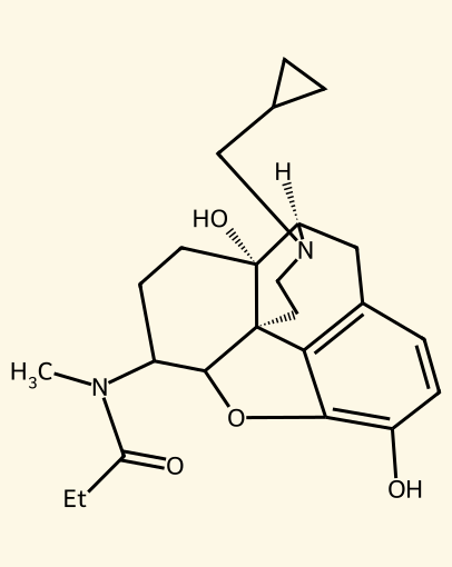 CCC(=O)N(C)C1CC[C@@]2(O)[C@H]3Cc4ccc(O)c5c4[C@@]2(CCN3CC2CC2)C1O5